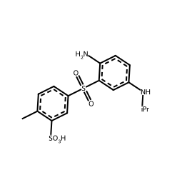 Cc1ccc(S(=O)(=O)c2cc(NC(C)C)ccc2N)cc1S(=O)(=O)O